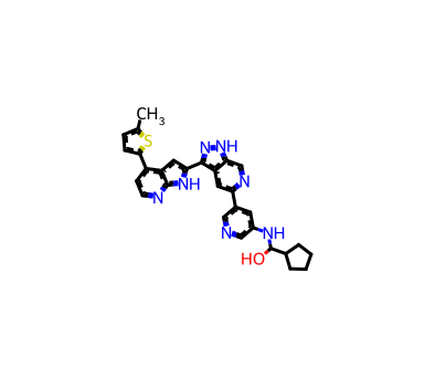 Cc1ccc(-c2ccnc3[nH]c(-c4n[nH]c5cnc(-c6cncc(NC(O)C7CCCC7)c6)cc45)cc23)s1